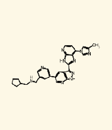 Cc1cn(-c2ccnc3[nH]c(-c4n[nH]c5ncc(-c6cncc(CNCC7CCCC7)c6)cc45)nc23)cn1